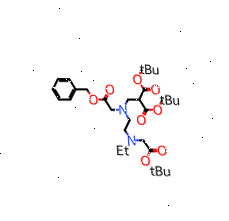 CCN(CCN(CC(=O)OCc1ccccc1)CC(C(=O)OC(C)(C)C)C(=O)OC(C)(C)C)CC(=O)OC(C)(C)C